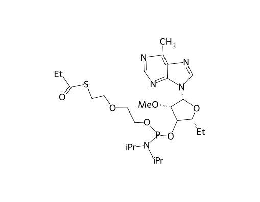 CCC(=O)SCCOCCOP(OC1[C@@H](CC)O[C@@H](n2cnc3c(C)ncnc32)[C@H]1OC)N(C(C)C)C(C)C